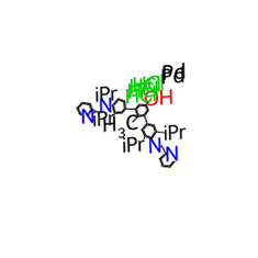 Cc1c(-c2cc(C(C)C)c(N=Cc3ccccn3)c(C(C)C)c2)cc(O)cc1-c1cc(C(C)C)c(N=Cc2ccccn2)c(C(C)C)c1.Cl.Cl.Cl.Cl.[Pd].[Pd]